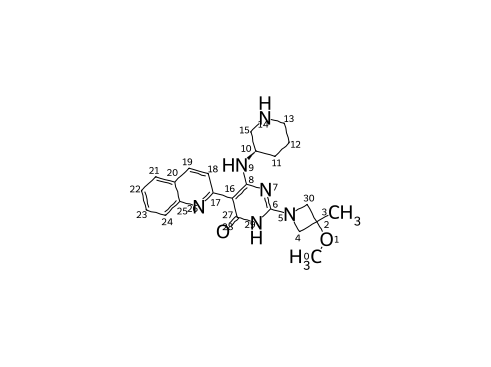 COC1(C)CN(c2nc(N[C@@H]3CCCNC3)c(-c3ccc4ccccc4n3)c(=O)[nH]2)C1